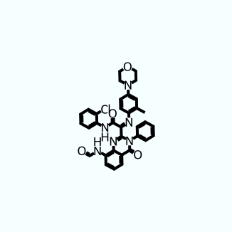 Cc1cc(N2CCOCC2)ccc1/N=C(\C(=O)Nc1ccccc1Cl)c1nc2c(NC=O)cccc2c(=O)n1-c1ccccc1